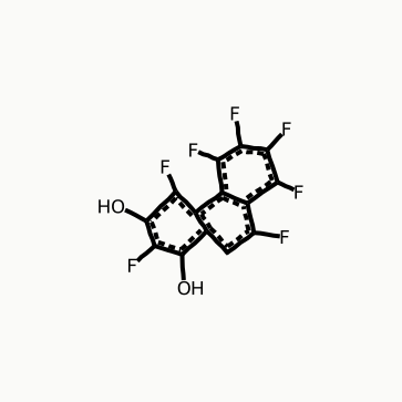 Oc1c(F)c(O)c2cc(F)c3c(F)c(F)c(F)c(F)c3c2c1F